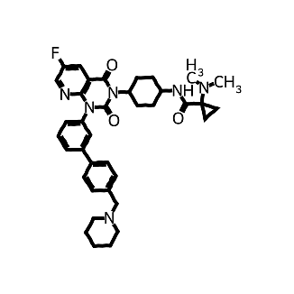 CN(C)C1(C(=O)NC2CCC(n3c(=O)c4cc(F)cnc4n(-c4cccc(-c5ccc(CN6CCCCC6)cc5)c4)c3=O)CC2)CC1